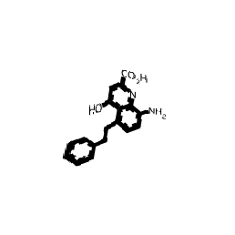 Nc1ccc(CCc2ccccc2)c2c(O)cc(C(=O)O)nc12